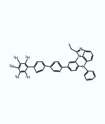 [2H]c1c([2H])c([2H])c(-c2ccc(-c3ccc(-c4ccc5c(c4)-n4c(CC)nc6cccc(c64)N5c4ccccc4)cc3)cc2)c([2H])c1[2H]